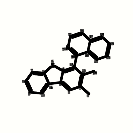 Cc1cc2c(sc3ccccc32)c(-c2nccc3ccccc23)c1C